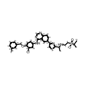 CC(NCCS(=O)(=O)C(C)C)c1nc(-c2ccc3ncnc(Nc4ccc(OCc5cccc(F)c5)c(Cl)c4)c3c2)cs1